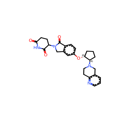 O=C1CCC(N2Cc3cc(O[C@@H]4CCC[C@H]4N4CCc5ncccc5C4)ccc3C2=O)C(=O)N1